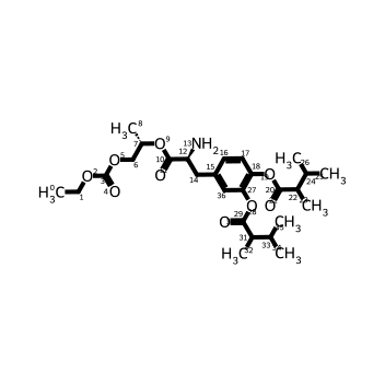 CCOC(=O)OC[C@H](C)OC(=O)[C@@H](N)Cc1ccc(OC(=O)C(C)C(C)C)c(OC(=O)C(C)C(C)C)c1